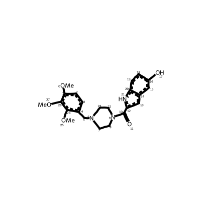 COc1ccc(CN2CCN(C(=O)c3cc4cc(O)ccc4[nH]3)CC2)c(OC)c1OC